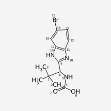 CC(C)(C)C(NC(=O)O)c1nc2ccc(Br)cc2[nH]1